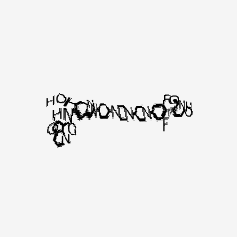 CC(C)(O)c1cc2nn(C3CCC(N4CCN(C5CCN(c6cc(F)c([C@H]7CCC(=O)NC7=O)c(F)c6)CC5)CC4)CC3)cc2cc1NC(=O)c1coc2cccnc12